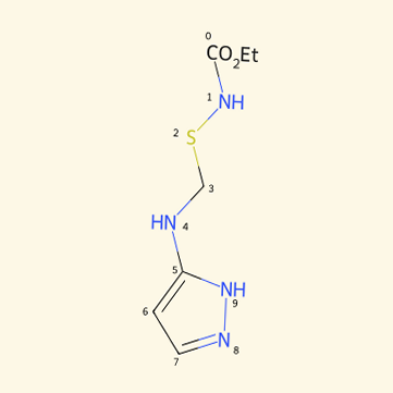 CCOC(=O)NSCNc1ccn[nH]1